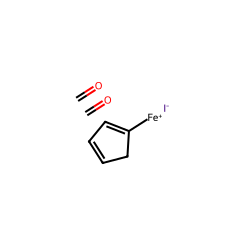 C=O.C=O.[Fe+][C]1=CC=CC1.[I-]